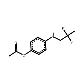 CC(=O)Oc1ccc(NCC(C)(F)F)cc1